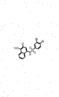 O=S(=O)(Nc1cc(Cl)c(O)c2ccccc12)c1ccc(Br)c(Br)c1